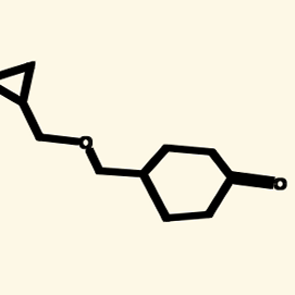 O=C1CCC(COCC2CC2)CC1